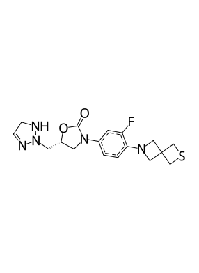 O=C1O[C@@H](CN2N=CCN2)CN1c1ccc(N2CC3(CSC3)C2)c(F)c1